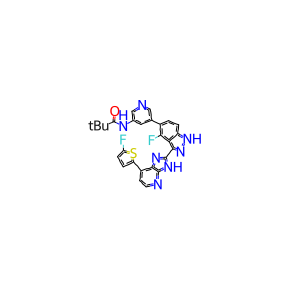 CC(C)(C)C(=O)Nc1cncc(-c2ccc3[nH]nc(-c4nc5c(-c6ccc(F)s6)ccnc5[nH]4)c3c2F)c1